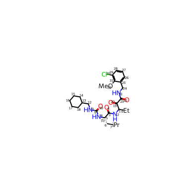 CCC(NC(=O)[C@H](CC(C)C)NC(=O)NCC1CCCCC1)C(=O)C(=O)NCc1cccc(Cl)c1OC